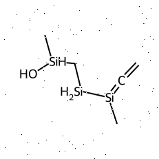 C=C=[Si](C)[SiH2]C[SiH](C)O